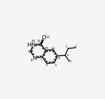 CCC(C)c1ccc2nc[nH]c(=O)c2c1